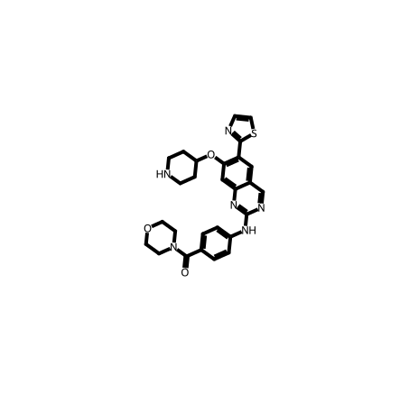 O=C(c1ccc(Nc2ncc3cc(-c4nccs4)c(OC4CCNCC4)cc3n2)cc1)N1CCOCC1